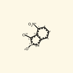 O=[N+]([O-])c1cccc2n[s+]([O-])c(Cl)c12